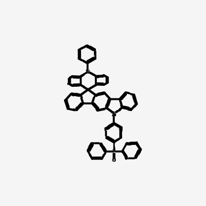 O=P(c1ccccc1)(c1ccccc1)c1ccc(-n2c3ccccc3c3cc4c(cc32)-c2ccccc2C42c3ccccc3N(c3ccccc3)c3ccccc32)cc1